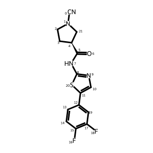 N#CN1CC[C@H](C(=O)Nc2ncc(-c3ccc(F)c(F)c3)s2)C1